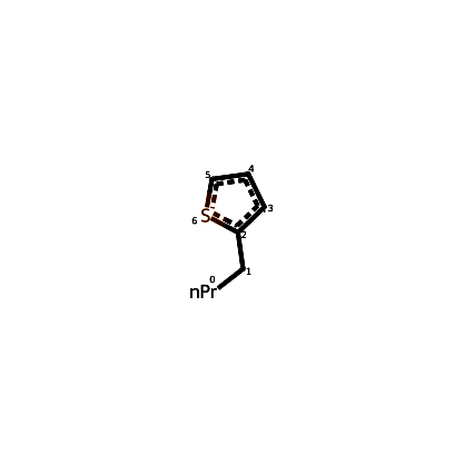 CCCCc1[c]ccs1